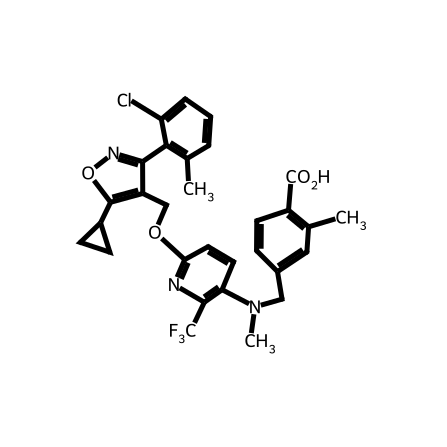 Cc1cc(CN(C)c2ccc(OCc3c(-c4c(C)cccc4Cl)noc3C3CC3)nc2C(F)(F)F)ccc1C(=O)O